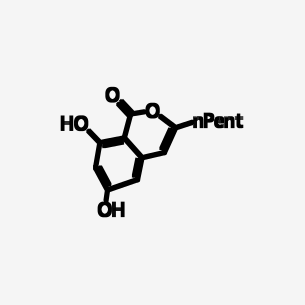 CCCCCc1cc2cc(O)cc(O)c2c(=O)o1